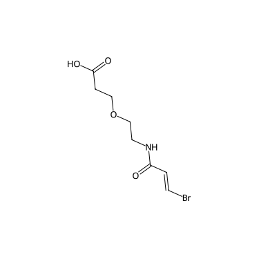 O=C(O)CCOCCNC(=O)C=CBr